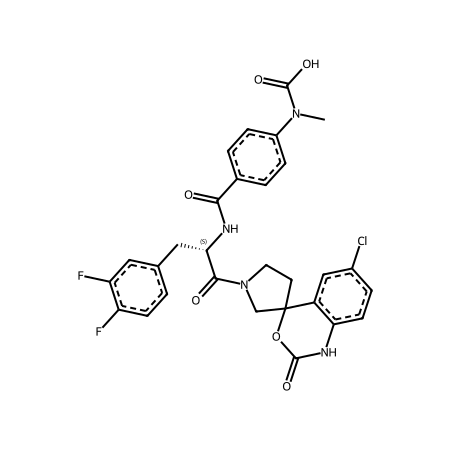 CN(C(=O)O)c1ccc(C(=O)N[C@@H](Cc2ccc(F)c(F)c2)C(=O)N2CCC3(C2)OC(=O)Nc2ccc(Cl)cc23)cc1